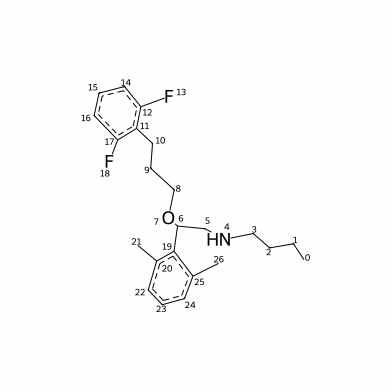 CCCCNCC(OCCCc1c(F)cccc1F)c1c(C)cccc1C